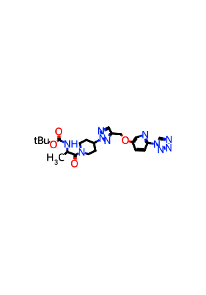 CC(NC(=O)OC(C)(C)C)C(=O)N1CCC(n2ncc(COc3ccc(-n4cnnn4)nc3)n2)CC1